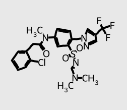 CN(C)C=NS(=O)(=O)c1cc(N(C)C(=O)Cc2ccccc2Cl)ccc1-n1cc(C(F)(F)F)cn1